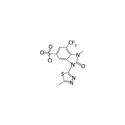 Cc1nnc(-n2c(=O)n(C)c3c(C(F)(F)F)cc(S(=O)(=O)Cl)cc32)s1